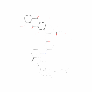 COc1cccc2c1C(=O)c1c(O)c3c(c(O)c1C2=O)C[C@@](O)(C(=O)CO)C[C@@H]3OC1CC(NC2C[C@H](O)CC3=CC[C@H]4[C@@H]5CC[C@H]([C@H](C)CCCC(C)C)[C@@]5(C)CC[C@@H]4[C@]32C)C(O)C(C)O1.[Cu]